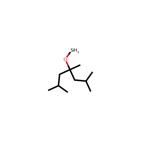 CC(C)CC(C)(CC(C)C)O[SiH3]